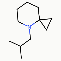 CC(C)CN1CCCCC12CC2